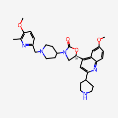 COc1ccc2nc(C3CCNCC3)cc([C@H]3CN(C4CCN(Cc5ccc(OC)c(C)n5)CC4)C(=O)O3)c2c1